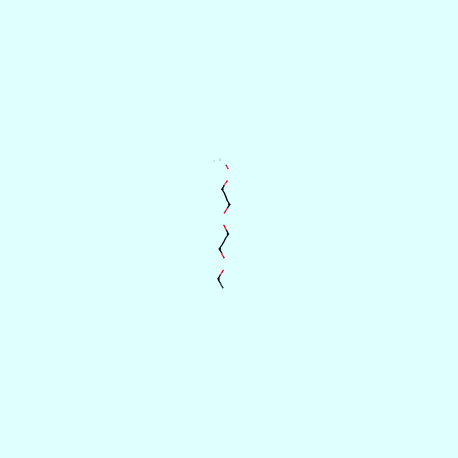 CCCCOCCOCCOCC(=O)O